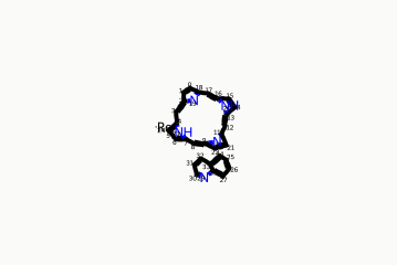 C1=Cc2cc3ccc(cc4nc(cc5ccc(cc1n2)[nH]5)C=C4)[nH]3.[Re].c1ccc2ncccc2c1